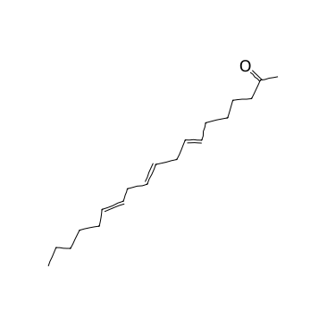 CCCCC/C=C/C/C=C/C/C=C/CCCCC(C)=O